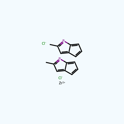 CC1=PC2=CC=CC2=C1.CC1=PC2=CC=CC2=C1.[Cl-].[Cl-].[Zr+2]